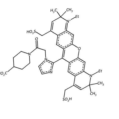 CCN1c2cc3c(cc2C(CS(=O)(=O)O)=CC1(C)C)C(c1nccn1CC(=O)N1CCC(C(=O)O)CC1)=c1cc2c(cc1O3)=[N+](CC)C(C)(C)C=C2CS(=O)(=O)O